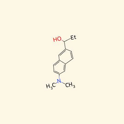 CCC(O)c1ccc2cc(N(C)C)ccc2c1